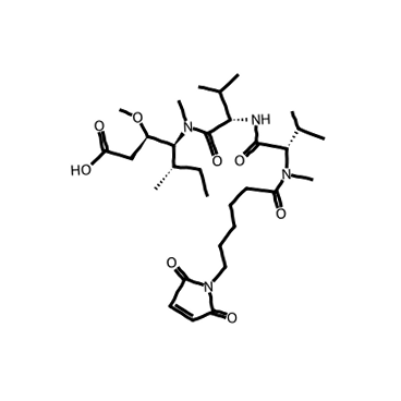 CC[C@H](C)[C@@H]([C@@H](CC(=O)O)OC)N(C)C(=O)[C@@H](NC(=O)[C@H](C(C)C)N(C)C(=O)CCCCCN1C(=O)C=CC1=O)C(C)C